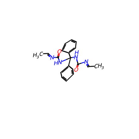 CC=NC(=O)NC(NC(=O)N=CC)(c1ccccc1)c1ccccc1